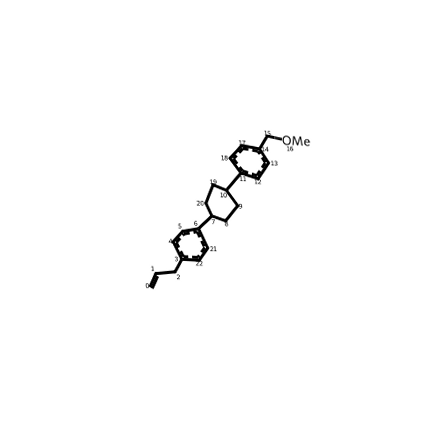 C=CCc1ccc(C2CCC(c3ccc(COC)cc3)CC2)cc1